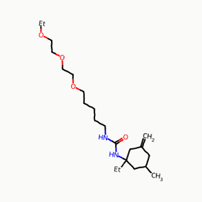 C=C1CC(C)CC(CC)(NC(=O)NCCCCCOCCOCCOCC)C1